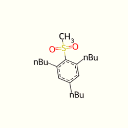 CCCCc1cc(CCCC)c(S(C)(=O)=O)c(CCCC)c1